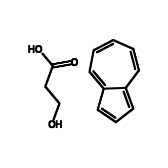 O=C(O)CCO.c1ccc2cccc-2cc1